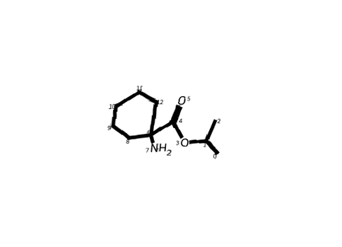 CC(C)OC(=O)C1(N)CCCCC1